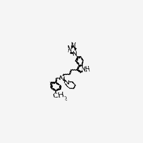 Cc1ccc(CN(CCCc2c[nH]c3ccc(-n4cnnc4)cc23)N2CCCCC2)cc1